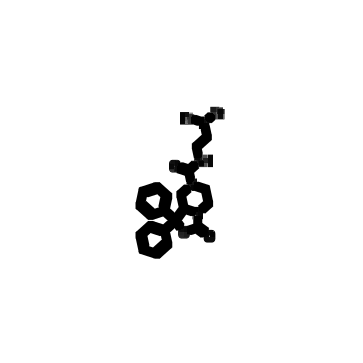 CCN(CC)CCNC(=O)N1CCN2C(=O)OC(c3ccccc3)(c3ccccc3)C2C1